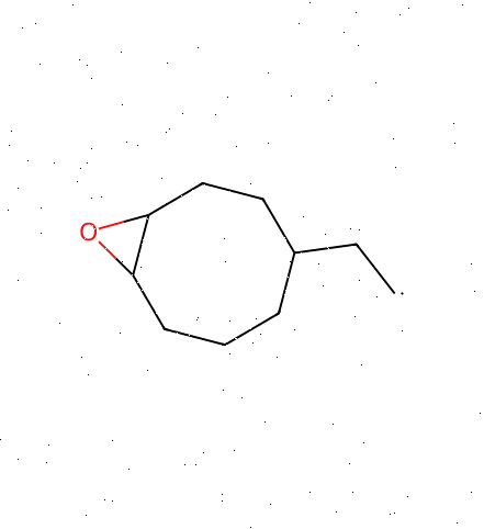 [CH2]CC1CCCC2OC2CC1